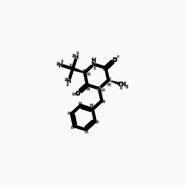 [2H]C([2H])([2H])[C@H]1NC(=O)[C@H](C)N(Cc2ccccc2)C1=O